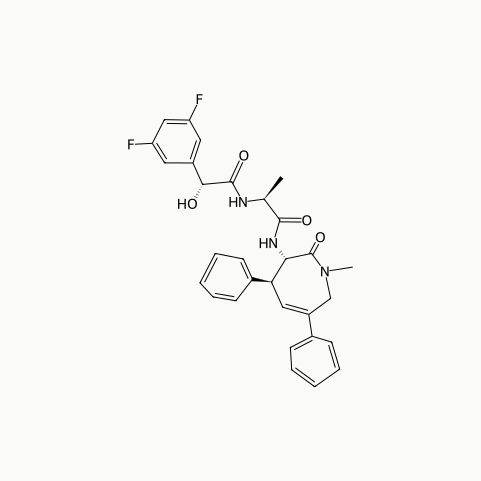 C[C@H](NC(=O)[C@H](O)c1cc(F)cc(F)c1)C(=O)N[C@@H]1C(=O)N(C)CC(c2ccccc2)=C[C@H]1c1ccccc1